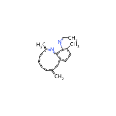 C=c1ccccc(=C)nc2c(/N=C\C)c(C)ccc2c1